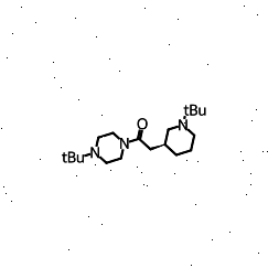 CC(C)(C)N1CCN(C(=O)C[C@@H]2CCCN(C(C)(C)C)C2)CC1